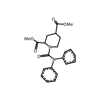 COC(=O)C1CCN(C(=O)N(c2ccccc2)c2ccccc2)C(C(=O)OC)C1